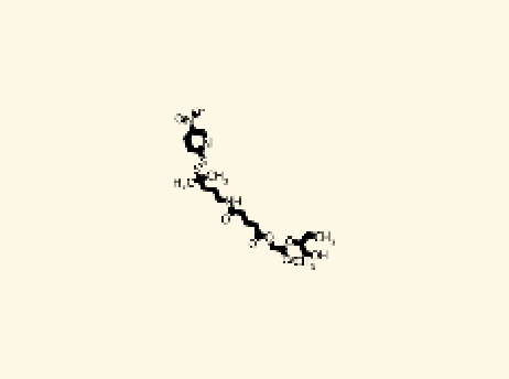 CCC(CO)OC(COC(=O)CCCC(=O)NCCCC(C)(C)SSc1ccc([N+](=O)[O-])cn1)OC